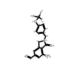 Cc1cc(C=O)cc2c1C(=O)N(Cc1ccc(OC(F)(F)F)cc1)C2